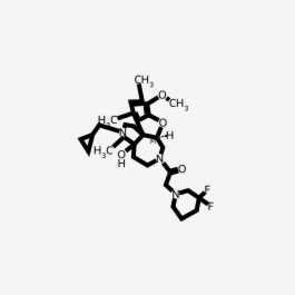 COc1c(C)cc(C)c2c1O[C@H]1CN(C(=O)CN3CCCC(F)(F)C3)CCC3(O)C(C)N(CC4CC4)CCC213